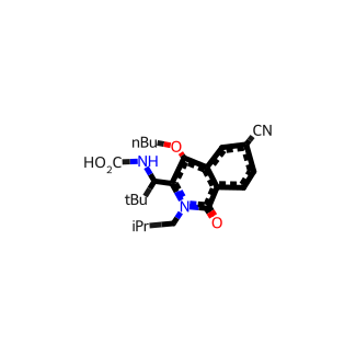 CCCCOc1c(C(NC(=O)O)C(C)(C)C)n(CC(C)C)c(=O)c2ccc(C#N)cc12